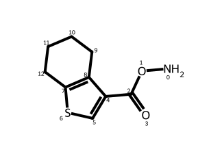 NOC(=O)c1csc2c1CCCC2